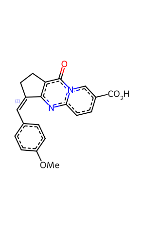 COc1ccc(/C=C2/CCc3c2nc2ccc(C(=O)O)cn2c3=O)cc1